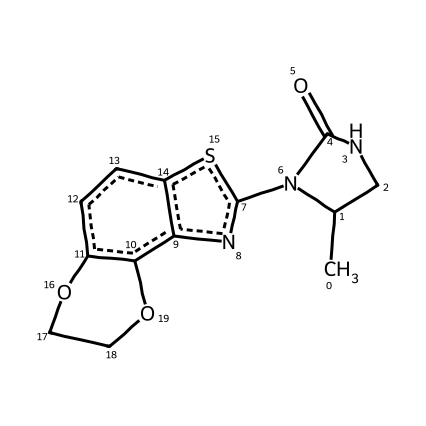 CC1CNC(=O)N1c1nc2c3c(ccc2s1)OCCO3